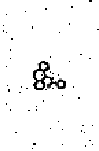 O=C(CC1c2ccccc2CCc2ccccc21)N1CCCC1